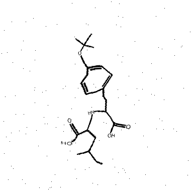 CC(C)CC(NC(Cc1ccc(OC(C)(C)C)cc1)C(=O)O)C(=O)O